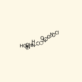 O=c1cc(OCc2ccc(Cl)cn2)ccn1C1=Cc2ccc(CNCCN3CCCS3(O)O)cc2CC1